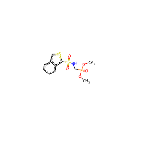 COP(=O)(CNS(=O)(=O)c1scc2ccccc12)OC